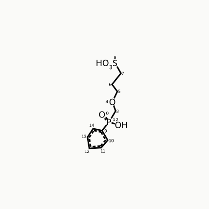 O=P(O)(COCCCS(=O)(=O)O)c1ccccc1